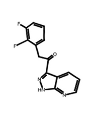 O=C(Cc1cccc(F)c1F)c1n[nH]c2ncccc12